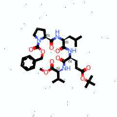 COC(=O)[C@@H](NC(=O)[C@H](CCC(=O)OC(C)(C)C)NC(=O)[C@H](CC(C)C)NC(=O)[C@@H]1CCCN1C(=O)OCc1ccccc1)C(C)C